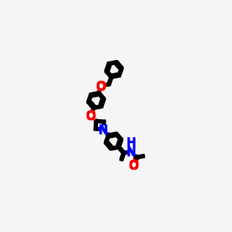 CC(=O)NC(C)c1ccc(N2CC(Oc3ccc(OCc4ccccc4)cc3)C2)cc1